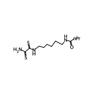 CCCC(=O)NCCCCCCNC(=S)C(N)=S